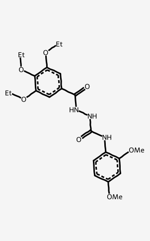 CCOc1cc(C(=O)NNC(=O)Nc2ccc(OC)cc2OC)cc(OCC)c1OCC